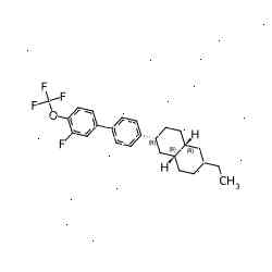 CCC1CC[C@@H]2C[C@H](c3ccc(-c4ccc(OC(F)(F)F)c(F)c4)cc3)CC[C@@H]2C1